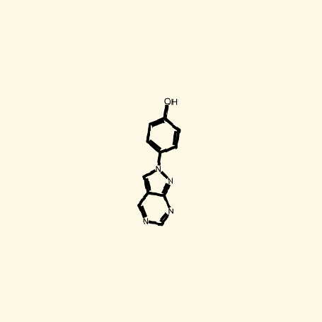 Oc1ccc(-n2cc3cncnc3n2)cc1